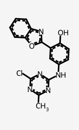 Cc1nc(Cl)nc(Nc2ccc(O)c(-c3nc4ccccc4o3)c2)n1